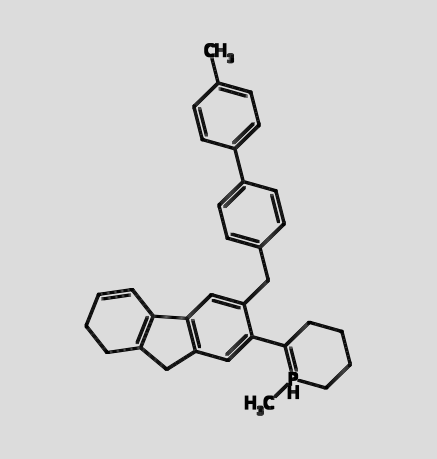 Cc1ccc(-c2ccc(Cc3cc4c(cc3C3=[PH](C)CCCC3)CC3=C4C=CCC3)cc2)cc1